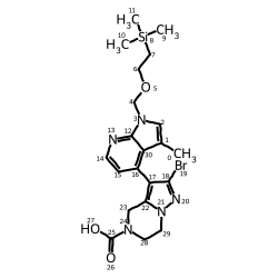 Cc1cn(COCC[Si](C)(C)C)c2nccc(-c3c(Br)nn4c3CN(C(=O)O)CC4)c12